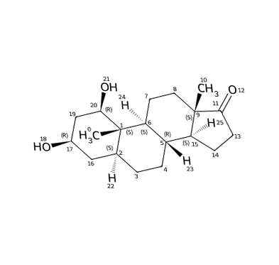 C[C@]12[C@@H](CC[C@@H]3[C@@H]1CC[C@]1(C)C(=O)CC[C@@H]31)C[C@@H](O)C[C@H]2O